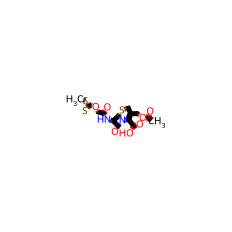 CSC(=S)OCC(=O)NC1C(=O)N2C(C(=O)O)=C(COC(C)=O)CSC12